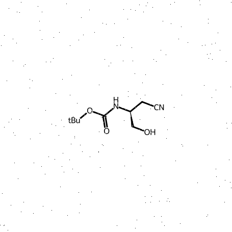 CC(C)(C)OC(=O)N[C@H](CO)CC#N